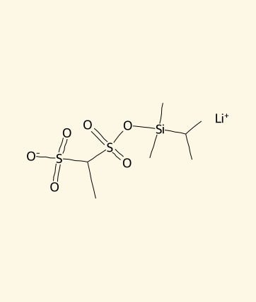 CC(C)[Si](C)(C)OS(=O)(=O)C(C)S(=O)(=O)[O-].[Li+]